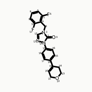 O=c1n(Cc2c(F)cccc2F)cnn1-c1ccc(C2=CCOCC2)cc1